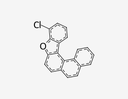 Clc1cccc2c1oc1ccc3ccc4ccccc4c3c12